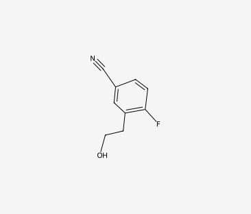 N#Cc1ccc(F)c(CCO)c1